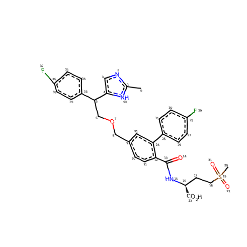 Cc1ncc(C(COCc2ccc(C(=O)N[C@@H](CCS(C)(=O)=O)C(=O)O)c(-c3ccc(F)cc3)c2)c2ccc(F)cc2)[nH]1